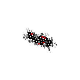 Bc1c(B)c(-c2c(B)c(B)c3c(c2B)c(B)c(B)c2c(B)c(B)c(B)c(B)c23)c(B)c(-c2c3c(B)c(B)c(B)c(B)c3c(-c3c(B)c(B)c4oc5c(B)c(B)c6c(B)c(B)c(B)c(B)c6c5c4c3B)c3c(B)c(B)c(B)c(B)c23)c1B